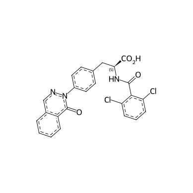 O=C(N[C@@H](Cc1ccc(-n2ncc3ccccc3c2=O)cc1)C(=O)O)c1c(Cl)cccc1Cl